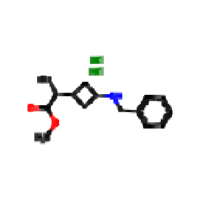 BOC(=O)C(CCCC)C1CC(NCc2ccccc2)C1.Cl.Cl